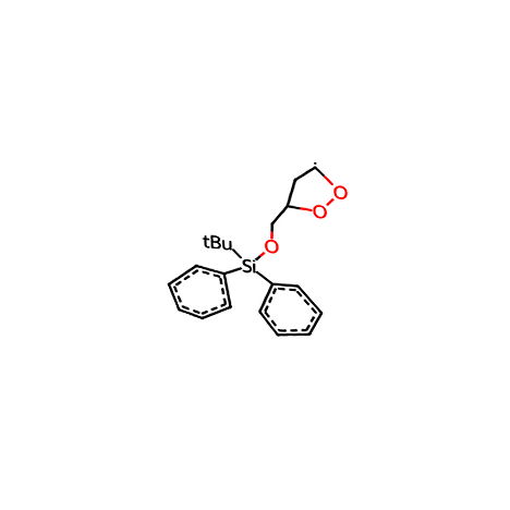 CC(C)(C)[Si](OCC1C[CH]OO1)(c1ccccc1)c1ccccc1